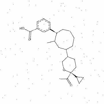 CC(=O)[C@@]1(C2CC2)CCC(C2CCCC[C@H](c3cccc(C(=O)O)c3)C(C)C2)CO1